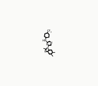 Cc1cc2nc(C)n(-c3cncc(Nc4ccc(C(F)(F)F)cc4)n3)c2cc1C